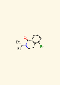 CCC(CC)N1CCc2c(Br)cccc2C1=O